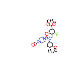 COC(=O)c1ccc(CN(C(=O)N2CCN(C3COC3)CC2)c2cccc(OC)c2)c(F)c1